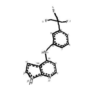 FC(F)(F)c1cccc(Nc2ccnc3[nH]ccc23)c1